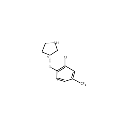 FC(F)(F)c1cnc(O[C@@H]2CCNC2)c(Cl)c1